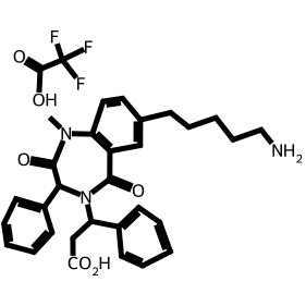 CN1C(=O)C(c2ccccc2)N(C(CC(=O)O)c2ccccc2)C(=O)c2cc(CCCCCN)ccc21.O=C(O)C(F)(F)F